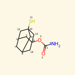 NC(=O)OC12CC3CC(CC(S)(C3)C1)C2